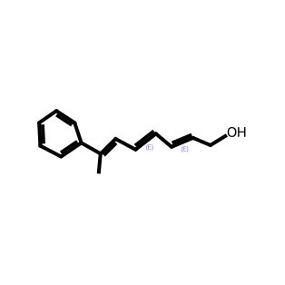 CC(=C/C=C/C=C/CO)c1ccccc1